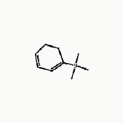 C[Si](C)(C)C1=CC=CCC1